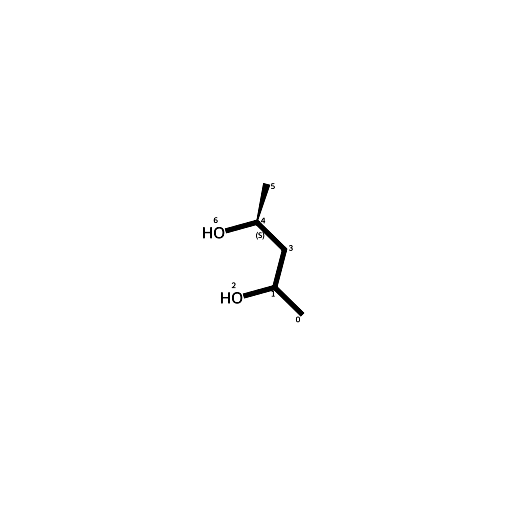 CC(O)C[C@H](C)O